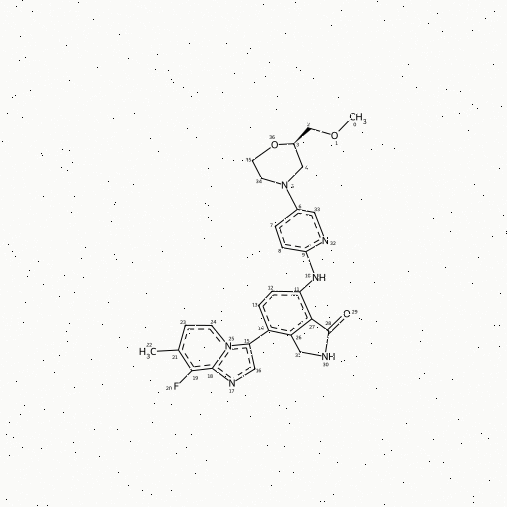 COC[C@H]1CN(c2ccc(Nc3ccc(-c4cnc5c(F)c(C)ccn45)c4c3C(=O)NC4)nc2)CCO1